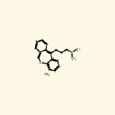 CN(C)CCCC1=c2ccccc2=COc2ccccc21.Cl